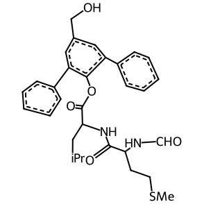 CSCCC(NC=O)C(=O)NC(CC(C)C)C(=O)Oc1c(-c2ccccc2)cc(CO)cc1-c1ccccc1